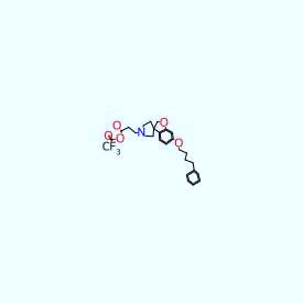 O=C(CCN1CCC2(CC1)COc1cc(OCCCCc3ccccc3)ccc12)OC(=O)C(F)(F)F